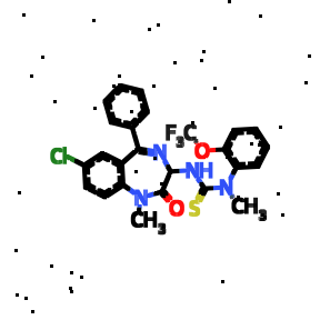 CN(C(=S)NC1N=C(c2ccccc2)c2cc(Cl)ccc2N(C)C1=O)c1ccccc1OC(F)(F)F